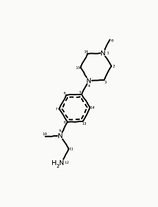 CN1CCN(c2ccc(N(C)CN)cc2)CC1